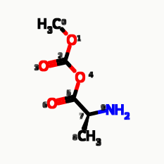 COC(=O)OC(=O)[C@H](C)N